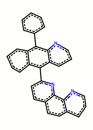 c1ccc(-c2c3ccccc3c(-c3ccc4ccc5cccnc5c4n3)c3cccnc23)cc1